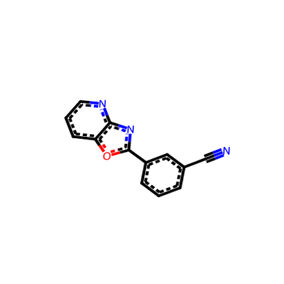 N#Cc1cccc(-c2nc3ncccc3o2)c1